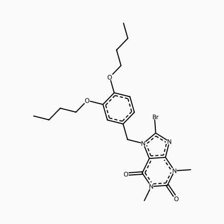 CCCCOc1ccc(Cn2c(Br)nc3c2c(=O)n(C)c(=O)n3C)cc1OCCCC